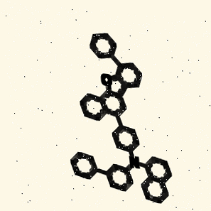 c1ccc(-c2cccc(N(c3ccc(-c4cc5c6cccc(-c7ccccc7)c6oc5c5ccccc45)cc3)c3cccc4ccccc34)c2)cc1